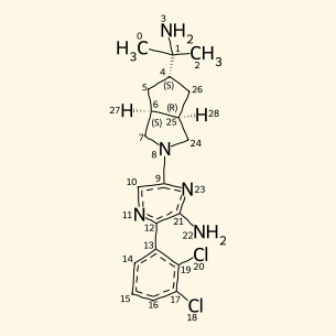 CC(C)(N)[C@H]1C[C@@H]2CN(c3cnc(-c4cccc(Cl)c4Cl)c(N)n3)C[C@@H]2C1